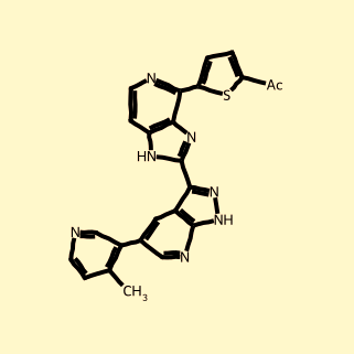 CC(=O)c1ccc(-c2nccc3[nH]c(-c4n[nH]c5ncc(-c6cnccc6C)cc45)nc23)s1